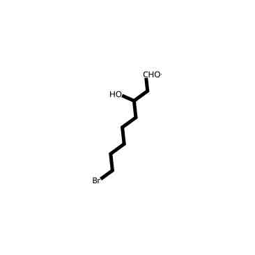 O=[C]CC(O)CCCCCBr